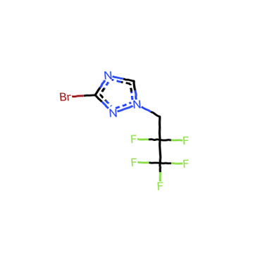 FC(F)(F)C(F)(F)Cn1cnc(Br)n1